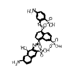 Nc1ccc(S(=O)(=O)O)c(N=Nc2ccc(N=Nc3c(S(=O)(=O)O)cc4ccc(N)cc4c3O)c3cc(S(=O)(=O)O)ccc23)c1